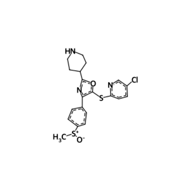 C[S+]([O-])c1ccc(-c2nc(C3CCNCC3)oc2Sc2ccc(Cl)cn2)cc1